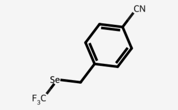 N#Cc1ccc(C[Se]C(F)(F)F)cc1